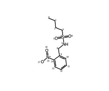 CCCCS(=O)(=O)NCc1ccccc1[N+](=O)[O-]